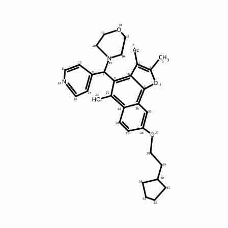 CC(=O)c1c(C)oc2c1c(C(c1ccncc1)N1CCOCC1)c(O)c1ccc(OCCC3CCCC3)cc12